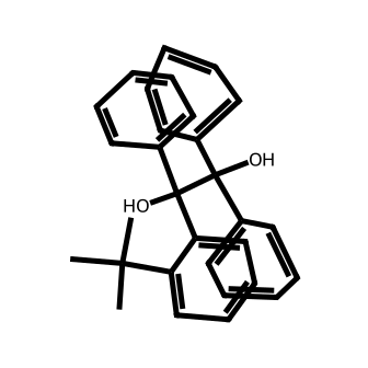 CC(C)(C)c1ccccc1C(O)(c1ccccc1)C(O)(c1ccccc1)c1ccccc1